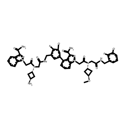 CO[C@H]1C[C@H](N(CC(=O)NCc2cccc(Cl)c2F)C(=O)Cn2nc(C(N)=O)c3c(-c4cc(Cl)c(F)c(CNC(=O)CN(C(=O)Cn5nc(C(N)=O)c6ccccc65)[C@H]5C[C@H](N)C5)c4)cccc32)C1